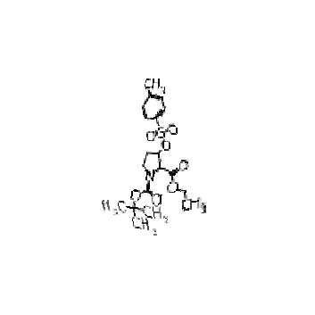 CCOC(=O)C1C(OS(=O)(=O)c2ccc(C)cc2)CCN1C(=O)OC(C)(C)C